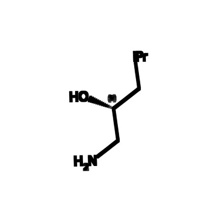 CC(C)C[C@@H](O)CN